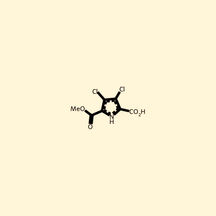 COC(=O)c1[nH]c(C(=O)O)c(Cl)c1Cl